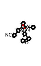 N#Cc1cccc(-c2ccc3c4ccccc4n(-c4ccc(-c5cccc6oc7ccccc7c56)cc4-c4nc(-c5ccccc5)nc(-c5ccccc5)n4)c3c2)c1